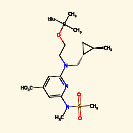 C[C@@H]1C[C@H]1CN(CCO[Si](C)(C)C(C)(C)C)c1cc(C(=O)O)cc(N(C)S(C)(=O)=O)n1